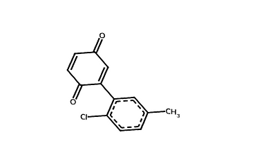 Cc1ccc(Cl)c(C2=CC(=O)C=CC2=O)c1